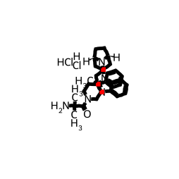 Cc1nc2ccccc2n1C1C[C@H]2CC[C@@H](C1)N2CCC1(c2ccccc2)CCN(C(=O)C(C)(C)N)CC1.Cl.Cl